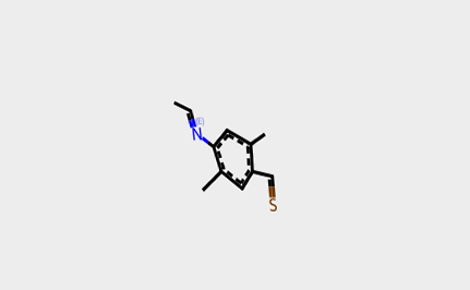 C/C=N/c1cc(C)c(C=S)cc1C